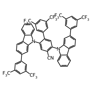 N#Cc1cc(-n2c3ccccc3c3ccc(-c4cc(C(F)(F)F)cc(C(F)(F)F)c4)cc32)c(-c2cc(C(F)(F)F)cc(C(F)(F)F)c2)cc1-n1c2ccccc2c2ccc(-c3cc(C(F)(F)F)cc(C(F)(F)F)c3)cc21